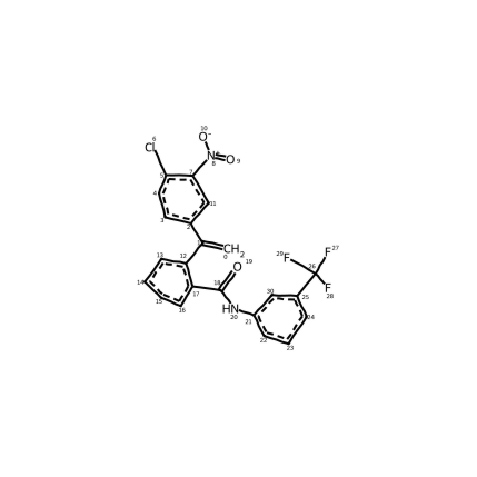 C=C(c1ccc(Cl)c([N+](=O)[O-])c1)c1ccccc1C(=O)Nc1cccc(C(F)(F)F)c1